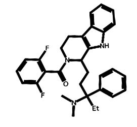 CCC(CCC1c2[nH]c3ccccc3c2CCN1C(=O)c1c(F)cccc1F)(c1ccccc1)N(C)C